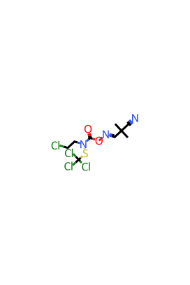 CC(C)(C#N)/C=N/OC(=O)N(CCCl)SC(Cl)(Cl)Cl